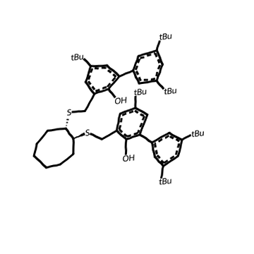 CC(C)(C)c1cc(-c2cc(C(C)(C)C)cc(CS[C@H]3CCCCCC[C@@H]3SCc3cc(C(C)(C)C)cc(-c4cc(C(C)(C)C)cc(C(C)(C)C)c4)c3O)c2O)cc(C(C)(C)C)c1